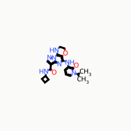 CC(C)n1cccc(Nc2nc3c(C(=O)NC4CCC4)cnn3c3c2OCCN3)c1=O